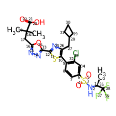 C[C@H](NS(=O)(=O)c1ccc(-c2sc(-c3nnc(CC(C)(C)C(=O)O)o3)nc2CC2CCC2)c(Cl)c1)C(F)(F)F